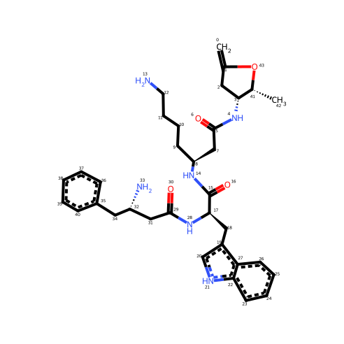 C=C1C[C@@H](NC(=O)C[C@H](CCCCN)NC(=O)[C@@H](Cc2c[nH]c3ccccc23)NC(=O)C[C@@H](N)Cc2ccccc2)[C@@H](C)O1